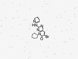 O=c1c(Br)cc2cnc(Nc3ccccn3)nc2n1C1CCCCC1